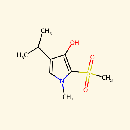 CC(C)c1cn(C)c(S(C)(=O)=O)c1O